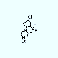 CCN1CCN2c3ncc(Cl)cc3C(F)(F)CC2C1